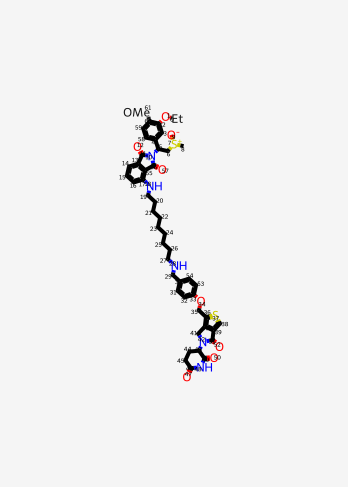 CCOc1cc(C(C[S+](C)[O-])N2C(=O)c3cccc(NCCCCCCCCCNCc4ccc(OCc5scc6c5CN(C5CCC(=O)NC5=O)C6=O)cc4)c3C2=O)ccc1OC